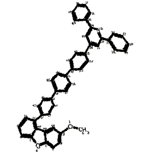 COc1ccc2oc3cccc(-c4ccc(-c5ccc(-c6ccc(-c7cc(-c8ccccc8)nc(-c8ccccc8)c7)cc6)cc5)cc4)c3c2c1